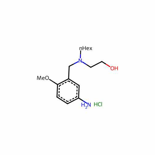 CCCCCCN(CCO)Cc1cc(N)ccc1OC.Cl